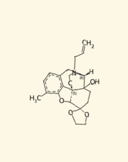 C=CCN1CC[C@]23c4c5ccc(C)c4OC2C2(CCC3(O)[C@H]1C5)OCCO2